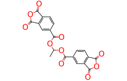 CC(OC(=O)c1ccc2c(c1)C(=O)OC2=O)OC(=O)c1ccc2c(c1)C(=O)OC2=O